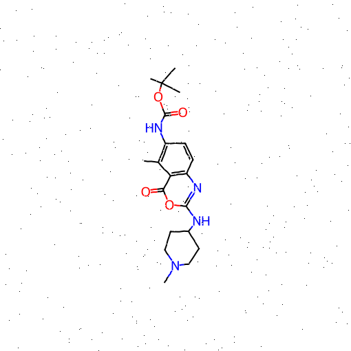 Cc1c(NC(=O)OC(C)(C)C)ccc2nc(NC3CCN(C)CC3)oc(=O)c12